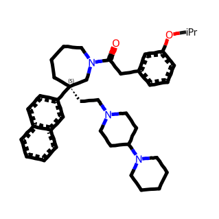 CC(C)Oc1cccc(CC(=O)N2CCCC[C@](CCN3CCC(N4CCCCC4)CC3)(c3ccc4ccccc4c3)C2)c1